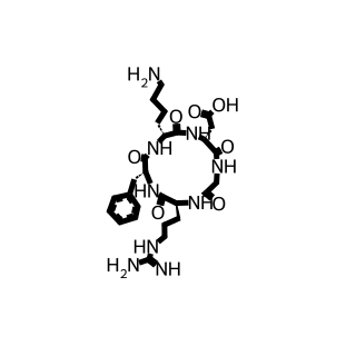 N=C(N)NCCC[C@@H]1NC(=O)CNC(=O)[C@@H](CC(=O)O)NC(=O)[C@@H](CCCCN)NC(=O)[C@@H](Cc2ccccc2)NC1=O